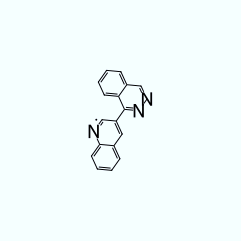 [c]1nc2ccccc2cc1-c1nncc2ccccc12